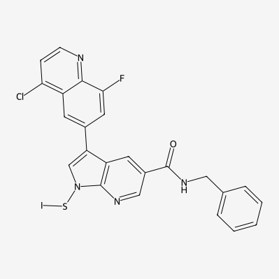 O=C(NCc1ccccc1)c1cnc2c(c1)c(-c1cc(F)c3nccc(Cl)c3c1)cn2SI